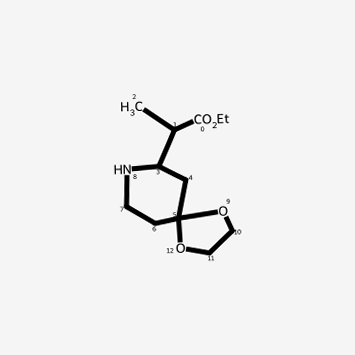 CCOC(=O)C(C)C1CC2(CCN1)OCCO2